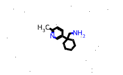 Cc1ccc(C2(CN)CCCCC2)cn1